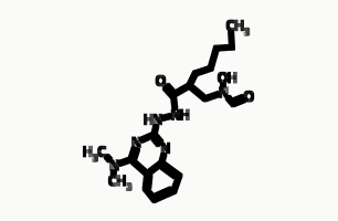 CCCCCC(CN(O)C=O)C(=O)NNc1nc(N(C)C)c2ccccc2n1